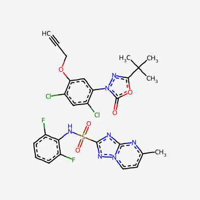 C#CCOc1cc(-n2nc(C(C)(C)C)oc2=O)c(Cl)cc1Cl.Cc1ccn2nc(S(=O)(=O)Nc3c(F)cccc3F)nc2n1